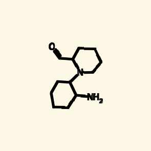 NC1CCCCC1N1CCCCC1C=O